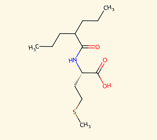 CCCC(CCC)C(=O)N[C@@H](CCSC)C(=O)O